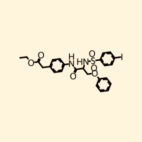 CCOC(=O)Cc1ccc(NC(=O)C(COc2ccccc2)NS(=O)(=O)c2ccc(I)cc2)cc1